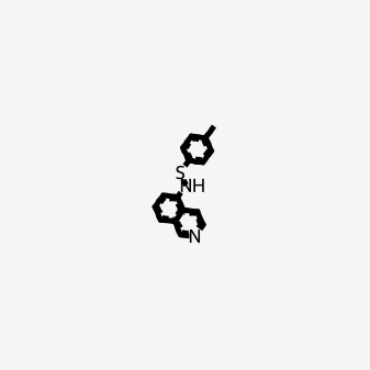 Cc1ccc(SNc2cccc3cnccc23)cc1